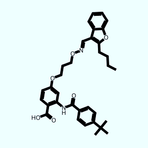 CCCCc1oc2ccccc2c1/C=N/OCCCOc1ccc(C(=O)O)c(NC(=O)c2ccc(C(C)(C)C)cc2)c1